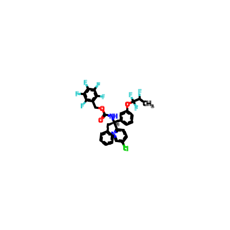 CC(F)C(F)(F)Oc1cccc([C@@](Cc2ccccc2)(NC(=O)OCc2c(F)c(F)c(F)c(F)c2F)c2ccc(Cl)cn2)c1